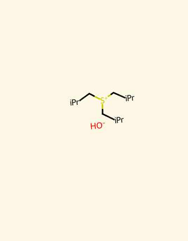 CC(C)C[S+](CC(C)C)CC(C)C.[OH-]